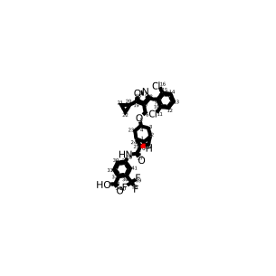 C[C@H]1C2CC(OCc3c(-c4c(Cl)cccc4Cl)noc3C3CC3)CC1C(C(=O)Nc1ccc(C(=O)O)c(C(F)(F)F)c1)C2